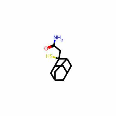 NC(=O)CC1(S)C2CC3CC(C2)CC1C3